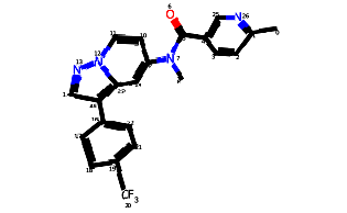 Cc1ccc(C(=O)N(C)c2ccn3ncc(-c4ccc(C(F)(F)F)cc4)c3c2)cn1